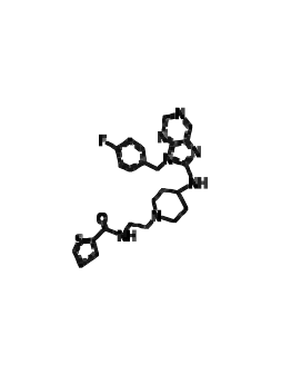 O=C(NCCN1CCC(Nc2nc3cncnc3n2Cc2ccc(F)cc2)CC1)c1cccs1